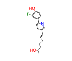 CC(O)CCCC=Cc1ccc(-c2ccc(O)c(F)c2)nc1